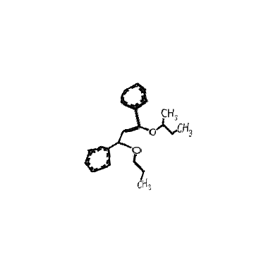 CCCOC(/C=C(\OC(C)CC)c1ccccc1)c1ccccc1